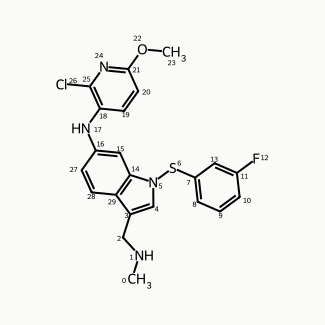 CNCc1cn(Sc2cccc(F)c2)c2cc(Nc3ccc(OC)nc3Cl)ccc12